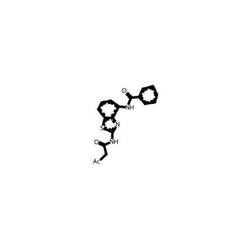 CC(=O)CC(=O)Nc1nc2c(NC(=O)c3ccccc3)cccc2s1